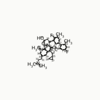 Cc1cc(-c2c(C)cc(F)cc2C)cc([C@H](CC(=O)O)NC(=O)[C@@H](CC2CC2)c2cc(CCN(C)C)cn(C)c2=O)c1F